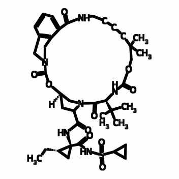 CC[C@H]1C[C@@]1(NC(=O)C1C[C@@H]2CN1C(=O)[C@H](C(C)(C)C)NC(=O)OCC(C)(C)CCCCNC(=O)c1cccc3c1CN(C3)C(=O)O2)C(=O)NS(=O)(=O)C1CC1